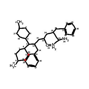 CC1CCC(C(C2CCC(C)CC2)C(Cc2ccccc2)CC(O)CC(Cc2ccccc2)C(N)N)CC1